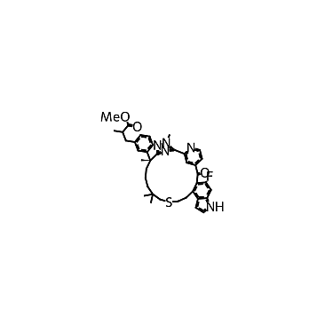 COC(=O)C(C)Cc1cccc([C@@]2(C)CCCC(C)(C)CSCCc3c(c(F)cc4[nH]ccc34)C(=O)c3ccnc(c3)-c3nc2nn3C)c1